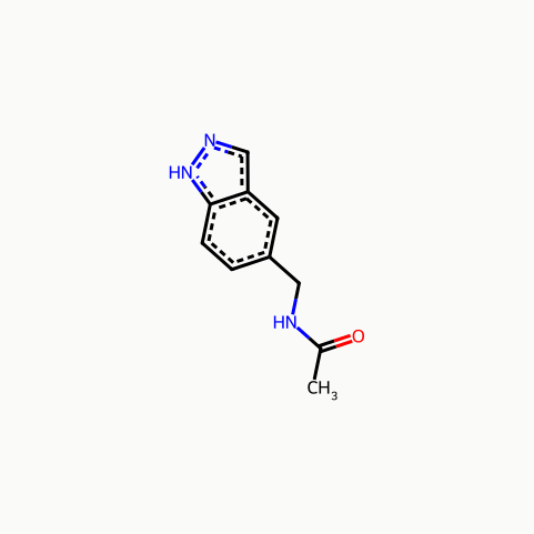 CC(=O)NCc1ccc2[nH]ncc2c1